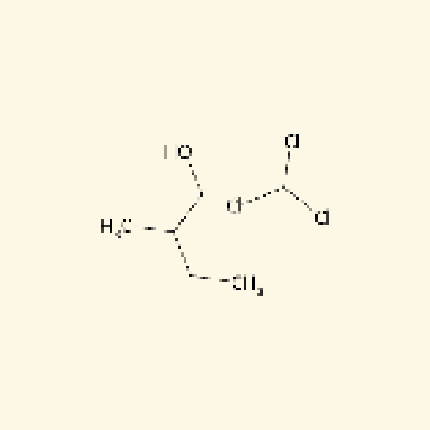 CCC(C)CO.ClC(Cl)Cl